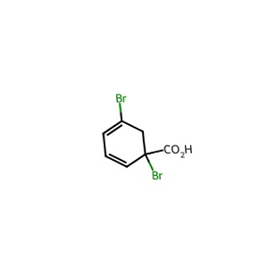 O=C(O)C1(Br)C=CC=C(Br)C1